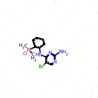 CP(C)(=O)c1ccccc1Nc1nc(N)ncc1Br